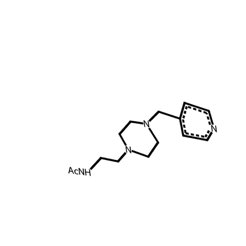 CC(=O)NCCN1CCN(Cc2ccncc2)CC1